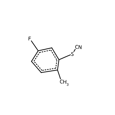 Cc1ccc(F)cc1SC#N